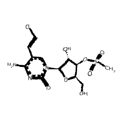 CS(=O)(=O)O[C@@H]1[C@@H](O)[C@H](n2cc(/C=C/Cl)c(N)nc2=O)O[C@@H]1CO